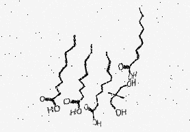 CC(C)(CO)CO.CCCCCCCCC(=O)O.CCCCCCCCC(=O)O.CCCCCCCCC(=O)O.CCCCCCCCC(=O)O